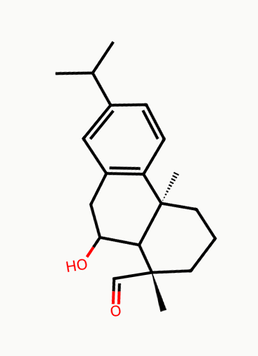 CC(C)c1ccc2c(c1)CC(O)C1[C@@](C)(C=O)CCC[C@]21C